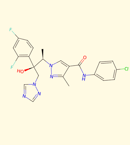 Cc1nn([C@H](C)[C@](O)(Cn2cncn2)c2ccc(F)cc2F)cc1C(=O)Nc1ccc(Cl)cc1